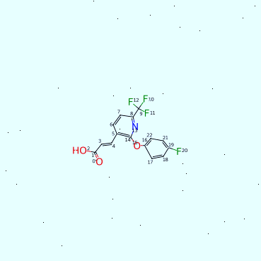 O=C(O)C=Cc1ccc(C(F)(F)F)nc1Oc1ccc(F)cc1